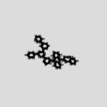 C1=CC(c2nc(C3=CCCC(c4cccnc4)=C3)cc(-c3ccccc3)n2)CC(c2c3ccccc3c(C3=Cc4ccccc4NC3)c3ccccc23)=C1